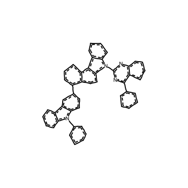 c1ccc(-c2nc(-n3c4ccccc4c4c5cccc(-c6ccc7c(c6)c6ccccc6n7-c6ccccc6)c5ccc43)nc3ccccc23)cc1